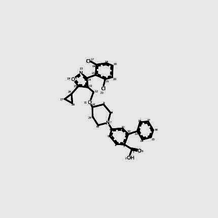 O=C(O)c1ccc(N2CCC(OCc3c(-c4c(Cl)cccc4Cl)noc3C3CC3)CC2)cc1-c1ccccc1